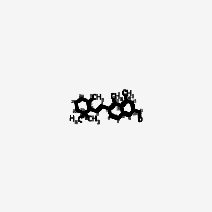 CC1=C(/C=C/c2ccc3cc(C=O)cc(C)c3c2C)C(C)(C)CCC1